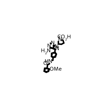 COc1ccccc1C(=O)CNCc1ccc(-c2nn([C@@H]3CCCN(C(=O)O)C3)c3ncnc(N)c23)cc1